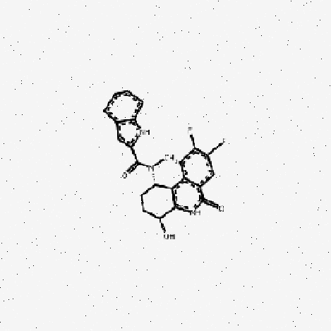 CN(C(=O)c1cc2ccccc2[nH]1)[C@H]1CC[C@H](O)c2[nH]c(=O)c3cc(F)c(F)cc3c21